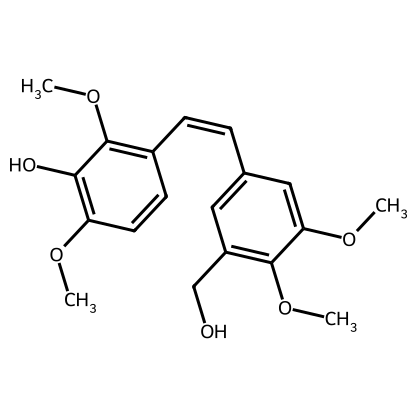 COc1ccc(/C=C\c2cc(CO)c(OC)c(OC)c2)c(OC)c1O